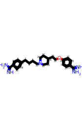 N=C(N)c1ccc(CCCCN2CCC(CCOc3ccc(C(=N)N)cc3)CC2)cc1